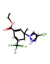 CCOC(=O)C1=CC(C)(n2cc(Cl)cn2)CC(C(F)(F)F)=C1